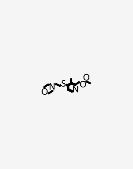 CC(=O)OCc1nccc(SCCN2CCOCC2)c1C